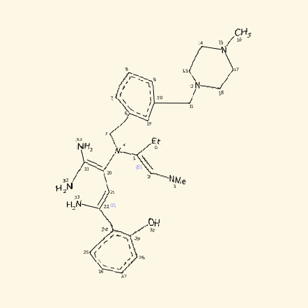 CC/C(=C\NC)N(Cc1cccc(CN2CCN(C)CC2)c1)C(/C=C(\N)c1ccccc1O)=C(N)N